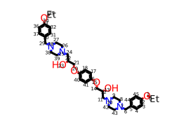 CCOc1ccc(CN2CCN(CC(O)COc3ccc(OCC(O)CN4CCN(Cc5ccc(OCC)cc5)CC4)cc3)CC2)cc1